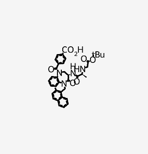 Cc1ccc2ccccc2c1CN1C(=O)[C@@H](NC(=O)[C@H](C)NCC(=O)OC(C)(C)C)CN(C(=O)c2ccc(C(=O)O)cc2)c2ccccc21